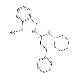 COc1ccccc1CN[C@H](CCc1ccccc1)NC1CCCCC1